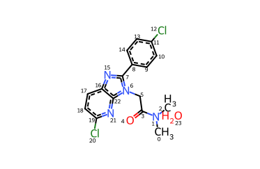 CN(C)C(=O)Cn1c(-c2ccc(Cl)cc2)nc2ccc(Cl)nc21.O